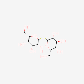 OC[C@H]1OC(SC2O[C@H](CO)[C@@H](O)[C@H](O)[C@H]2O)[C@H](O)[C@@H](O)[C@@H]1O